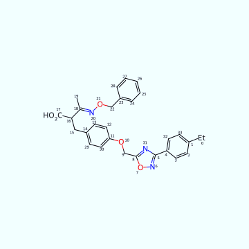 CCc1ccc(-c2noc(COc3ccc(CC(C(=O)O)C(C)=NOCc4ccccc4)cc3)n2)cc1